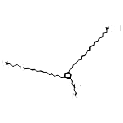 CN(C)CCC(=O)OCc1cc(CCCCCCC=CCC=CCCCCCCCC(=O)O)cc(CCCCCCC=CCC=CCCCCCCCC(=O)O)c1